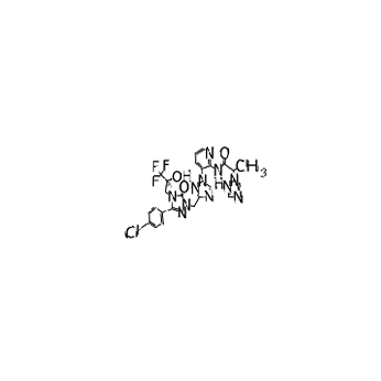 CC(C(=O)Nc1ncccc1-n1cnc(Cn2nc(-c3ccc(Cl)cc3)n(C[C@H](O)C(F)(F)F)c2=O)n1)n1cncn1